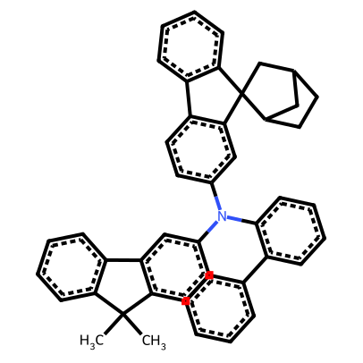 CC1(C)c2ccccc2-c2cc(N(c3ccc4c(c3)C3(CC5CCC3C5)c3ccccc3-4)c3ccccc3-c3ccccc3)ccc21